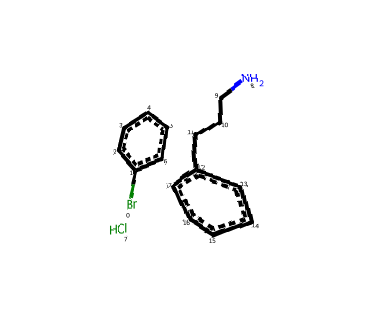 Brc1ccccc1.Cl.NCCCc1ccccc1